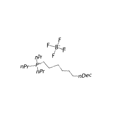 CCCCCCCCCCCCCCCC[P+](CCC)(CCC)CCC.F[B-](F)(F)F